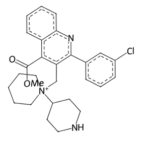 COC(=O)c1c(C[N+]2(C3CCNCC3)CCCCC2)c(-c2cccc(Cl)c2)nc2ccccc12